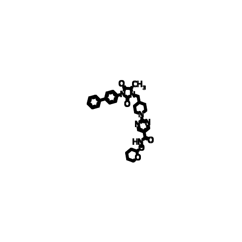 CC1C(=O)N(c2ccc(-c3ccccc3)cc2)C(=O)N1CC1CCN(c2ncc(C(=O)NOC3CCCCO3)cn2)CC1